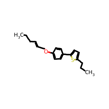 CCC/C=C/COc1ccc(-c2ccc(CCC)s2)cc1